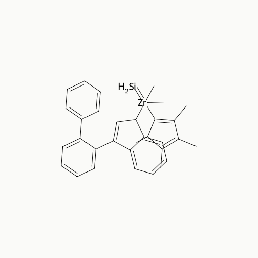 CC1=C(C)C(C)[C]([Zr]([CH3])([CH3])(=[SiH2])[CH]2C=C(c3ccccc3-c3ccccc3)c3ccccc32)=C1C